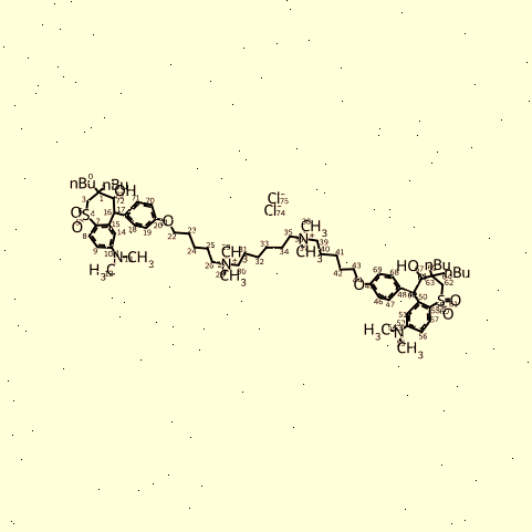 CCCCC1(CCCC)CS(=O)(=O)c2ccc(N(C)C)cc2C(c2ccc(OCCCCC[N+](C)(C)CCCCCC[N+](C)(C)CCCCCOc3ccc([C@@H]4c5cc(N(C)C)ccc5S(=O)(=O)CC(CCCC)(CCCC)[C@@H]4O)cc3)cc2)C1O.[Cl-].[Cl-]